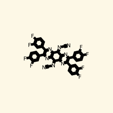 N#CN=C1c2nc(-c3ccc(F)c(F)c3)c(-c3ccc(F)c(F)c3)nc2C(=NC#N)c2nc(-c3ccc(F)c(F)c3)c(-c3ccc(F)c(F)c3)nc21